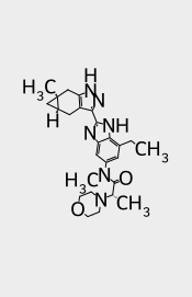 CCc1cc(N(C)C(=O)[C@H](C)N2CCOCC2)cc2nc(-c3n[nH]c4c3C[C@@H]3C[C@]3(C)C4)[nH]c12